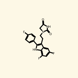 O=C1CN(CCc2c(-c3ccc(F)cc3)[nH]c3c(F)cc(F)cc23)C(=O)N1